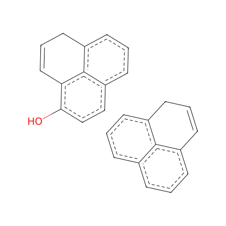 C1=Cc2cccc3cccc(c23)C1.Oc1ccc2cccc3c2c1C=CC3